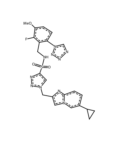 COc1ccc(-n2cnnn2)c(CNS(=O)(=O)c2cn(Cc3cn4cc(C5CC5)ccc4n3)nn2)c1F